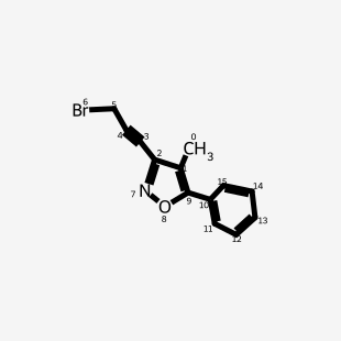 Cc1c(C#CCBr)noc1-c1ccccc1